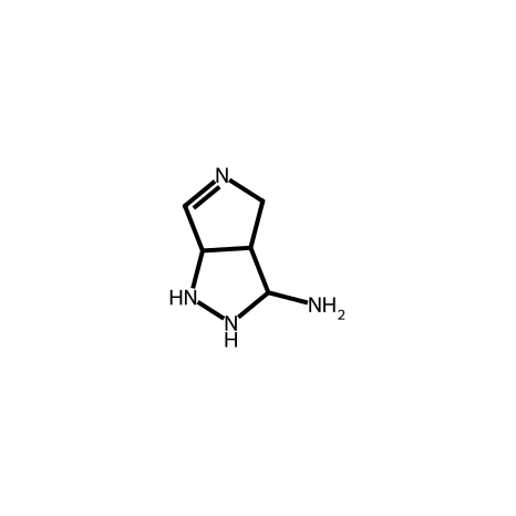 NC1NNC2C=NCC12